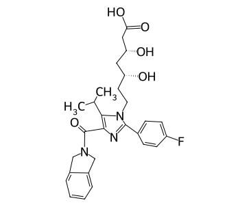 CC(C)c1c(C(=O)N2Cc3ccccc3C2)nc(-c2ccc(F)cc2)n1CC[C@@H](O)C[C@@H](O)CC(=O)O